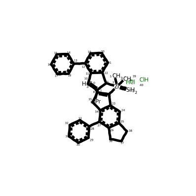 CC1=[C]([Zr]([CH3])([CH3])(=[SiH2])[CH]2C(C(C)C)=Cc3c(-c4ccccc4)cccc32)c2cc3c(c(-c4ccccc4)c2C1)CCC3.Cl.Cl